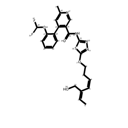 C/C=C(\C=C/CCOc1nnc(NC(=O)c2cnc(C)cc2-c2ccccc2OC(F)F)s1)CO